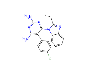 CCc1nc2ccccc2n1-c1nc(N)nc(N)c1-c1ccc(Cl)cc1